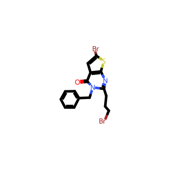 O=c1c2cc(Br)sc2nc(CCCBr)n1Cc1ccccc1